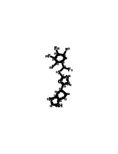 Fc1cc(C(F)Sc2nnc(-c3ccc4[nH]cnc4c3)o2)c(F)c(F)c1F